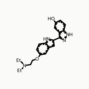 CCN(CC)CCOc1ccc2[nH]c(-c3n[nH]c4ccc(O)cc34)cc2c1